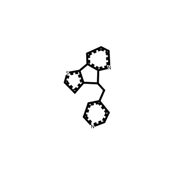 c1cnc2c(c1)-c1sccc1C2Cc1ccncc1